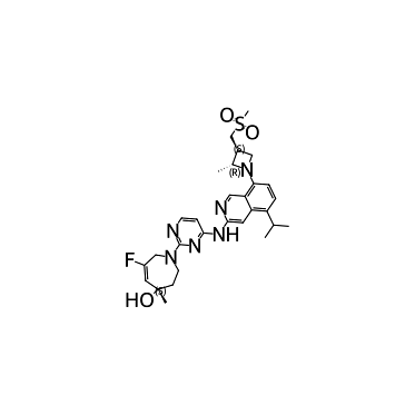 CC(C)c1ccc(N2C[C@H](CS(C)(=O)=O)[C@H]2C)c2cnc(Nc3ccnc(N4CC[C@](C)(O)C=C(F)C4)n3)cc12